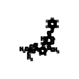 COC(=O)C(=C[C@@H]1CCCN1C(=O)OC(C)(C)C)NC(=O)OCc1ccccc1